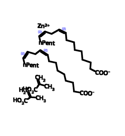 C=C(C)C(=O)O.C=C(C)C(=O)O.CCCCC/C=C\C/C=C\CCCCCCCC(=O)[O-].CCCCC/C=C\C/C=C\CCCCCCCC(=O)[O-].[Zn+2]